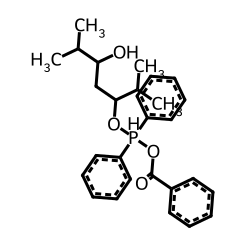 CC(C)C(O)CC(O[PH](OC(=O)c1ccccc1)(c1ccccc1)c1ccccc1)C(C)C